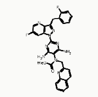 COC(=O)N(Cc1ccc2ccccc2n1)c1c(N)nc(-n2nc(Cc3ccccc3F)c3ncc(F)cc32)nc1N